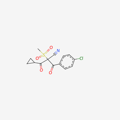 CS(=O)(=O)C(C#N)(C(=O)c1ccc(Cl)cc1)C(=O)C1CC1